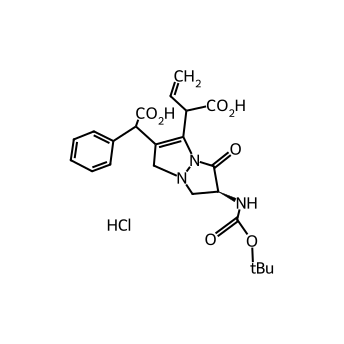 C=CC(C(=O)O)C1=C(C(C(=O)O)c2ccccc2)CN2C[C@H](NC(=O)OC(C)(C)C)C(=O)N12.Cl